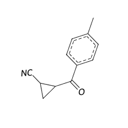 Cc1ccc(C(=O)C2CC2C#N)cc1